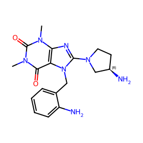 Cn1c(=O)c2c(nc(N3CC[C@@H](N)C3)n2Cc2ccccc2N)n(C)c1=O